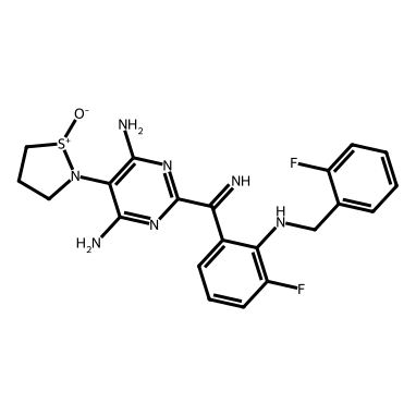 N=C(c1nc(N)c(N2CCC[S+]2[O-])c(N)n1)c1cccc(F)c1NCc1ccccc1F